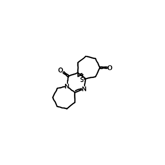 O=C1CCCC23C=CSC2(C1)N=C1CCCCCN1C3=O